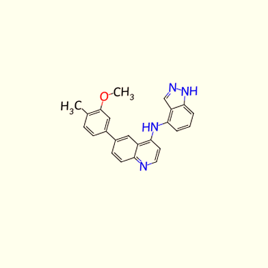 COc1cc(-c2ccc3nccc(Nc4cccc5[nH]ncc45)c3c2)ccc1C